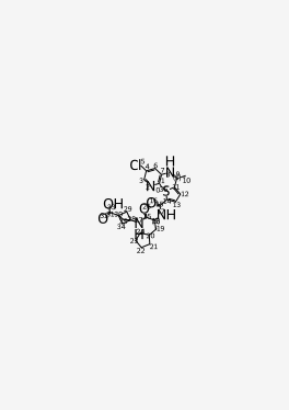 Cc1ncc(Cl)cc1N[C@@H](C)c1ccc(C(=O)N[C@@H](CC2CCCC2)C(=O)NC23CC(C(=O)O)(C2)C3)s1